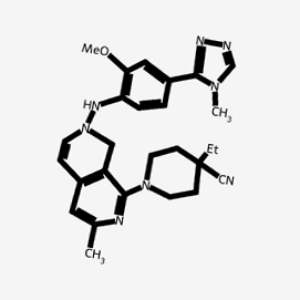 CCC1(C#N)CCN(c2nc(C)cc3c2CN(Nc2ccc(-c4nncn4C)cc2OC)C=C3)CC1